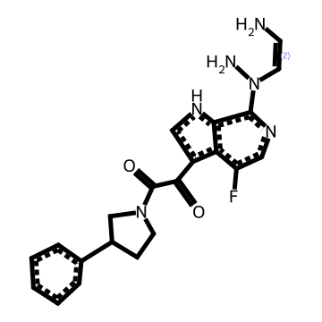 N/C=C\N(N)c1ncc(F)c2c(C(=O)C(=O)N3CCC(c4ccccc4)C3)c[nH]c12